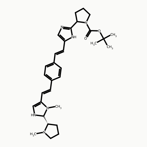 CN1C(/C=C/c2ccc(/C=C/c3cnc(C4CCCN4C(=O)OC(C)(C)C)[nH]3)cc2)=CNC1[C@@H]1CCCN1C